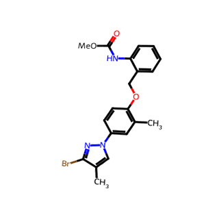 COC(=O)Nc1ccccc1COc1ccc(-n2cc(C)c(Br)n2)cc1C